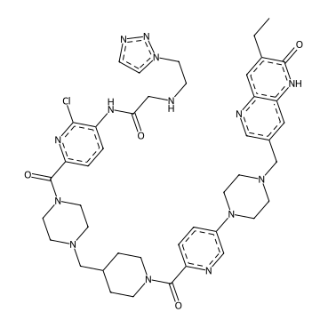 CCc1cc2ncc(CN3CCN(c4ccc(C(=O)N5CCC(CN6CCN(C(=O)c7ccc(NC(=O)CNCCn8ccnn8)c(Cl)n7)CC6)CC5)nc4)CC3)cc2[nH]c1=O